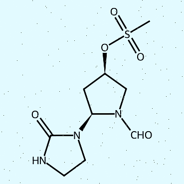 CS(=O)(=O)O[C@@H]1C[C@H](N2CCNC2=O)N(C=O)C1